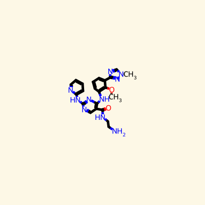 COc1c(Nc2nc(Nc3ccccn3)ncc2C(=O)NCCN)cccc1-c1ncn(C)n1